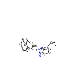 C=Cc1cccc2[nH]c(CCc3ccc4ccccc4c3)nc12